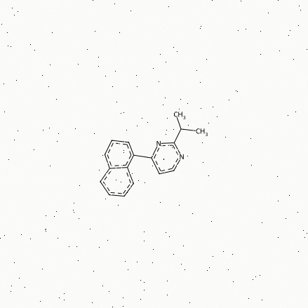 CC(C)c1nccc(-c2cccc3ccccc23)n1